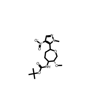 CO[C@H]1COC(c2c([N+](=O)[O-])cnn2C)CCC1NC(=O)OC(C)(C)C